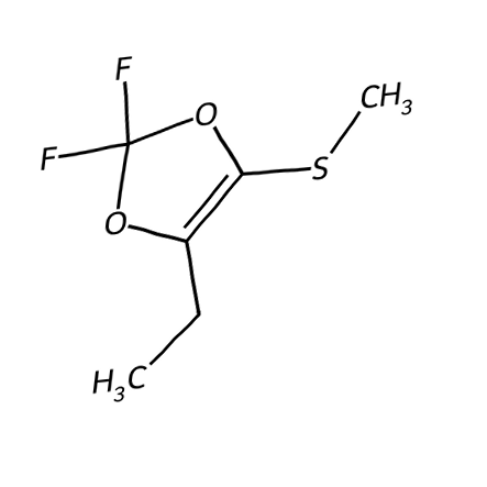 CCC1=C(SC)OC(F)(F)O1